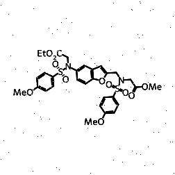 CCOC(=O)CN(c1ccc2oc(CN(CC(=O)OC)S(=O)(=O)c3ccc(OC)cc3)cc2c1)S(=O)(=O)c1ccc(OC)cc1